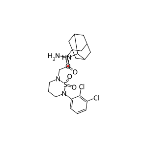 NC(=O)C12CC3CC(C1)C(NC(=O)CN1CCCN(c4cccc(Cl)c4Cl)S1(=O)=O)C(C3)C2